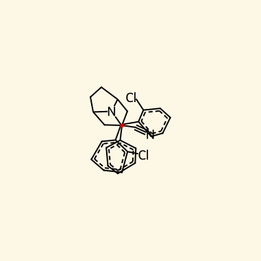 N#CC1(c2ccccc2)CC2CCC(C1)N2C(c1ccccc1Cl)c1ccccc1Cl